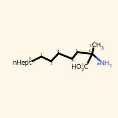 CCCCCCCCCCCCC(C)(N)C(=O)O